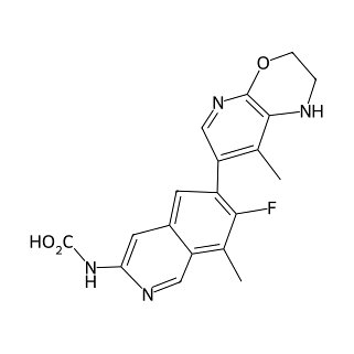 Cc1c(-c2cc3cc(NC(=O)O)ncc3c(C)c2F)cnc2c1NCCO2